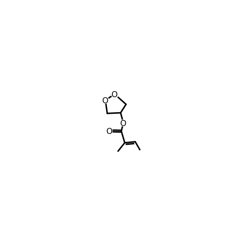 CC=C(C)C(=O)OC1COOC1